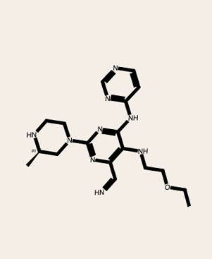 CCOCCNc1c(C=N)nc(N2CCN[C@H](C)C2)nc1Nc1ccncn1